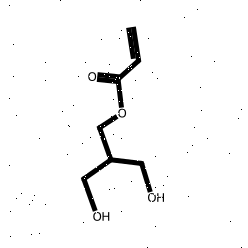 C=CC(=O)OCC(CO)CO